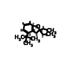 CCC1(CC)Cc2c(cccc2C(C)(C)C)O1